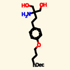 CCCCCCCCCCCCCOc1ccc(CCC(N)(CO)CO)cc1